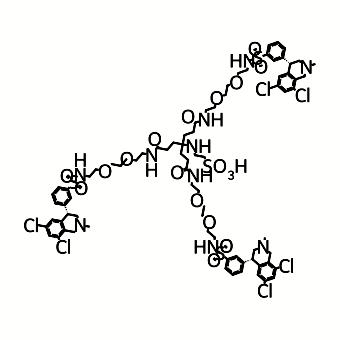 CN1Cc2c(Cl)cc(Cl)cc2[C@H](c2cccc(S(=O)(=O)NCCOCCOCCNC(=O)CCC(CCC(=O)NCCOCCOCCNS(=O)(=O)c3cccc([C@@H]4CN(C)Cc5c(Cl)cc(Cl)cc54)c3)(CCC(=O)NCCOCCOCCNS(=O)(=O)c3cccc([C@@H]4CN(C)Cc5c(Cl)cc(Cl)cc54)c3)NCCS(=O)(=O)O)c2)C1